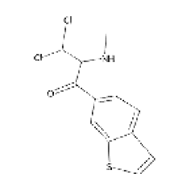 CNC(C(=O)c1ccc2ccsc2c1)C(Cl)Cl